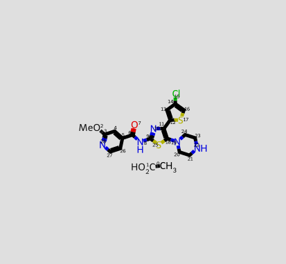 CC(=O)O.COc1cc(C(=O)Nc2nc(-c3cc(Cl)cs3)c(N3CCNCC3)s2)ccn1